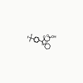 O=C(O)CN1C(=O)C(c2ccc(C(F)(F)F)cc2)=NC12CCCCC2